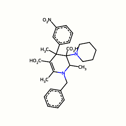 CC1=C(C(=O)O)C(C)(c2cccc([N+](=O)[O-])c2)C(C(=O)O)(N2CCCCC2)C(C)N1Cc1ccccc1